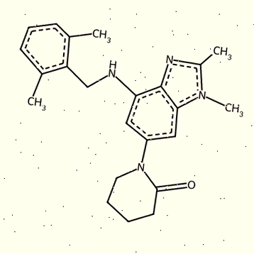 Cc1cccc(C)c1CNc1cc(N2CCCCC2=O)cc2c1nc(C)n2C